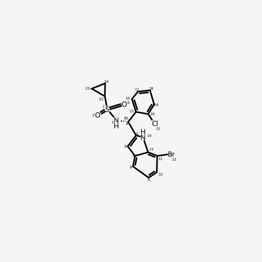 O=S(=O)(N[C@@H](c1cc2cccc(Br)c2[nH]1)c1ccccc1Cl)C1CC1